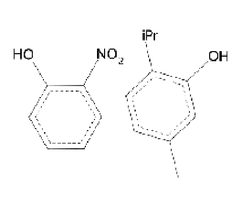 Cc1ccc(C(C)C)c(O)c1.O=[N+]([O-])c1ccccc1O